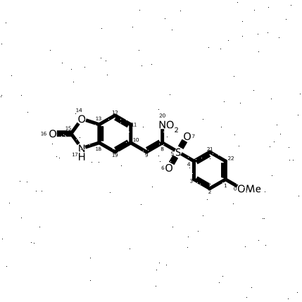 COc1ccc(S(=O)(=O)/C(=C/c2ccc3oc(=O)[nH]c3c2)[N+](=O)[O-])cc1